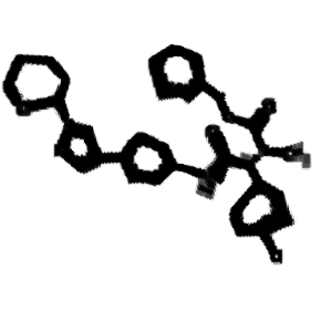 CN(C(=O)OCc1ccccc1)[C@@H](C(=O)Nc1ccc(-c2cnn(C3CCCCO3)c2)cc1)c1ccc(Cl)cc1